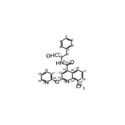 O=CC(Cc1ccccc1)NC(=O)c1cc(Oc2ccccn2)nc2c(C(F)(F)F)cccc12